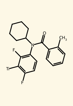 Cc1ccccc1C(=O)N(c1ccc(F)[c]([Ti])c1F)C1CCCCC1